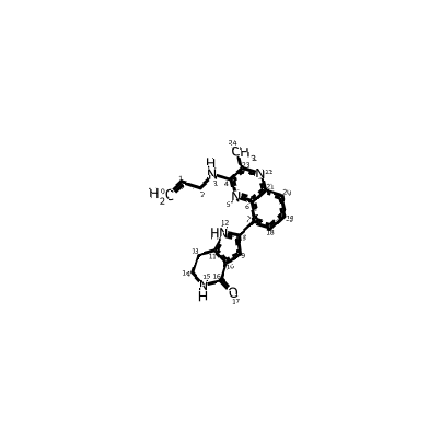 C=CCNc1nc2c(-c3cc4c([nH]3)CCNC4=O)cccc2nc1C